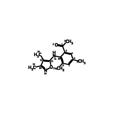 CC(=O)c1cc(C)cc(C)c1Nc1onc(C)c1C